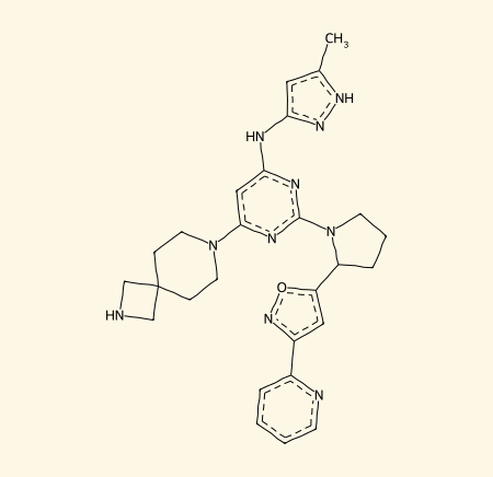 Cc1cc(Nc2cc(N3CCC4(CC3)CNC4)nc(N3CCCC3c3cc(-c4ccccn4)no3)n2)n[nH]1